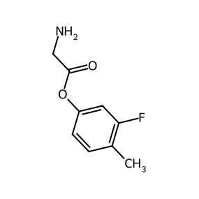 Cc1ccc(OC(=O)CN)cc1F